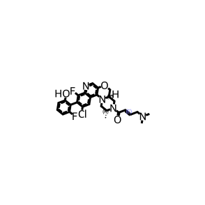 C[C@@H]1CN2c3c(cnc4c(F)c(-c5c(O)cccc5F)c(Cl)cc34)OC[C@H]2CN1C(=O)/C=C/CN(C)C